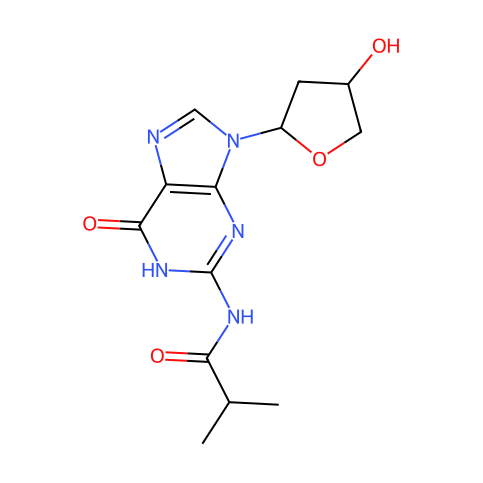 CC(C)C(=O)Nc1nc2c(ncn2C2CC(O)CO2)c(=O)[nH]1